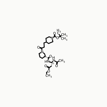 CCOC(=O)C[C@@H](NC(C)=O)NC(=O)[C@@H]1CCCN(C(=O)CCC2CCN(C(=O)OC(C)(C)C)CC2)C1